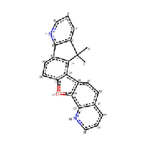 CC1(C)c2cccnc2-c2ccc3oc4c(ccc5cccnc54)c3c21